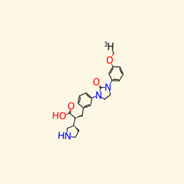 [3H]COc1cccc(N2CCN(c3cccc(C[C@H](C(=O)O)[C@H]4CCNC4)c3)C2=O)c1